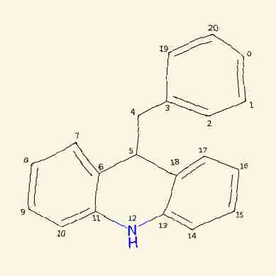 c1ccc(CC2c3ccccc3Nc3ccccc32)cc1